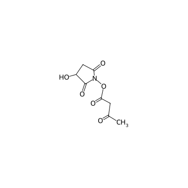 CC(=O)CC(=O)ON1C(=O)CC(O)C1=O